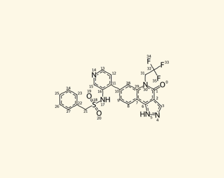 O=c1c2cn[nH]c2c2ccc(-c3ccncc3NS(=O)(=O)Cc3ccccc3)cc2n1CC(F)(F)F